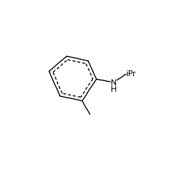 Cc1ccccc1NC(C)C